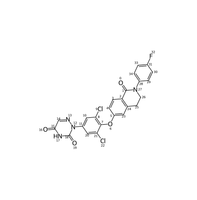 O=C1c2ccc(Oc3c(Cl)cc(-n4ncc(=O)[nH]c4=O)cc3Cl)cc2CCN1c1ccc(F)cc1